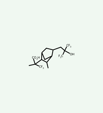 CC1C2CC(CC2CC(O)(C(F)(F)F)C(F)(F)F)C1C(C)(C(=O)O)C(F)(F)F